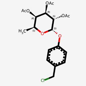 CC(=O)O[C@H]1[C@H](OC(C)=O)[C@H](Oc2ccc(CCl)cc2)O[C@@H](C)[C@H]1OC(C)=O